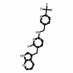 Fc1nc(NCc2ccc(C(F)(F)F)nc2)ccc1Cc1c[nH]c2ncccc12